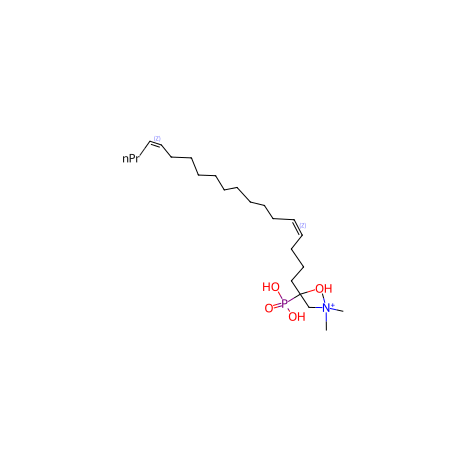 CCC/C=C\CCCCCCCCC/C=C\CCCC(O)(C[N+](C)(C)C)P(=O)(O)O